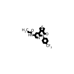 C=CC(=O)Nc1cnc2c(c1)c1cscc1c(=O)n2-c1ccc(C(F)(F)F)cc1